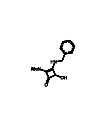 CNC1=C(NCc2ccccc2)C(O)C1=O